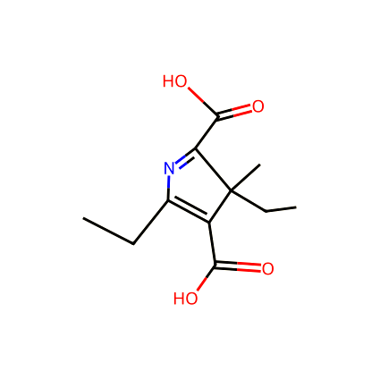 CCC1=C(C(=O)O)C(C)(CC)C(C(=O)O)=N1